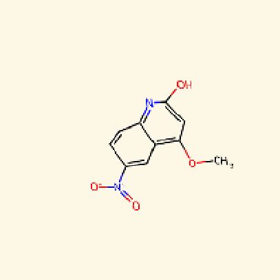 COc1cc(O)nc2ccc([N+](=O)[O-])cc12